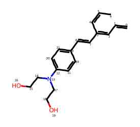 C=C/C=C(\C=C/C)/C=C/c1ccc(N(CCO)CCO)cc1